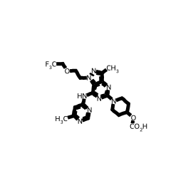 Cc1cc(Nc2nc(N3CCC(OC(=O)O)CC3)nc3c(C)nn(CCOCC(F)(F)F)c23)ncn1